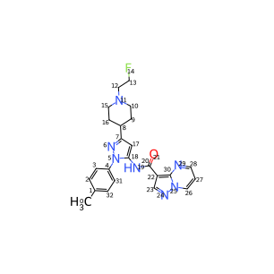 Cc1ccc(-n2nc(C3CCN(CCF)CC3)cc2NC(=O)c2cnn3cccnc23)cc1